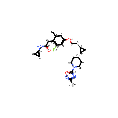 CC1CC(OCC[C@@H]2C[C@@H]2C2CCN(c3nc(C(C)C)no3)CC2)=CC(F)=C1CC(=O)NC1CC1